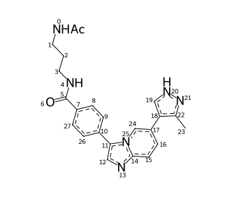 CC(=O)NCCCNC(=O)c1ccc(-c2cnc3ccc(-c4c[nH]nc4C)cn23)cc1